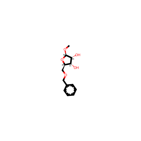 CO[C@@H]1O[C@H](COCc2ccccc2)[C@@H](O)[C@H]1O